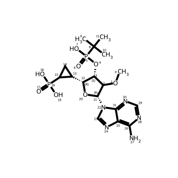 COC1[C@@H](OP(=O)(O)C(C)(C)C)[C@@H](C2CC2P(=O)(O)O)O[C@H]1n1cnc2c(N)ncnc21